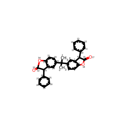 CC(C)(c1ccc2c(c1)C(c1ccccc1)C(=O)O2)c1ccc2c(c1)C(c1ccccc1)C(=O)O2